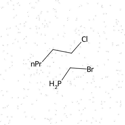 CCCCCCl.PCBr